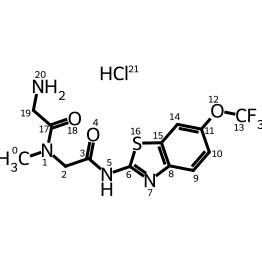 CN(CC(=O)Nc1nc2ccc(OC(F)(F)F)cc2s1)C(=O)CN.Cl